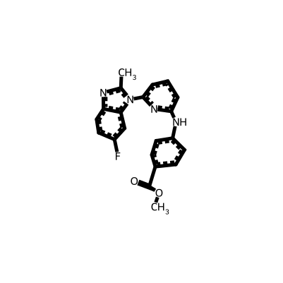 COC(=O)c1ccc(Nc2cccc(-n3c(C)nc4ccc(F)cc43)n2)cc1